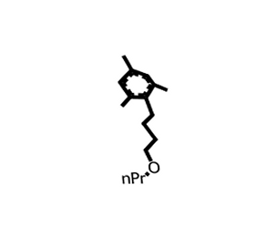 CCCOCCCCc1c(C)cc(C)cc1C